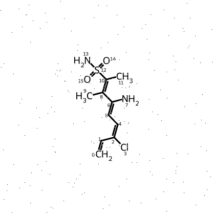 C=C\C(Cl)=C/C=C(N)/C(C)=C(\C)S(N)(=O)=O